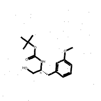 COc1cccc(C[C@H](CO)NC(=O)OC(C)(C)C)c1